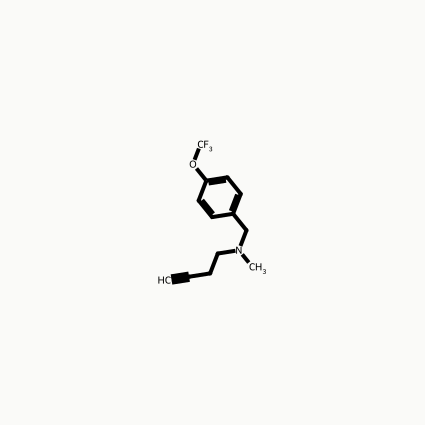 C#CCCN(C)Cc1ccc(OC(F)(F)F)cc1